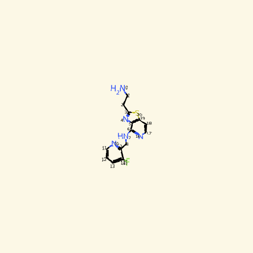 NCCc1nc2c(NCc3ncccc3F)nccc2s1